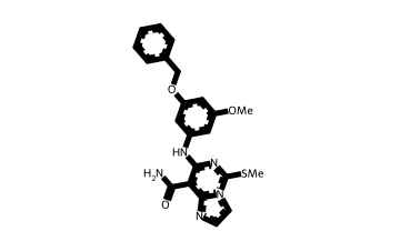 COc1cc(Nc2nc(SC)n3ccnc3c2C(N)=O)cc(OCc2ccccc2)c1